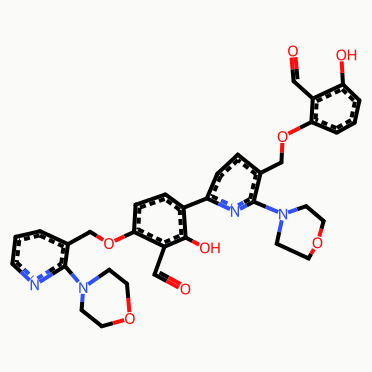 O=Cc1c(O)cccc1OCc1ccc(-c2ccc(OCc3cccnc3N3CCOCC3)c(C=O)c2O)nc1N1CCOCC1